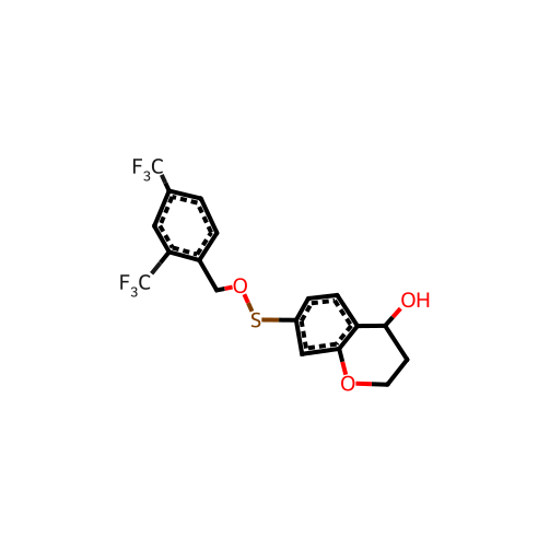 OC1CCOc2cc(SOCc3ccc(C(F)(F)F)cc3C(F)(F)F)ccc21